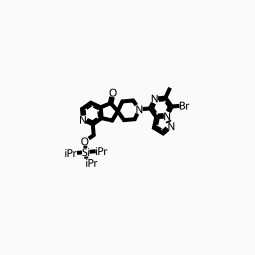 Cc1nc(N2CCC3(CC2)Cc2c(ccnc2CO[Si](C(C)C)(C(C)C)C(C)C)C3=O)c2ccnn2c1Br